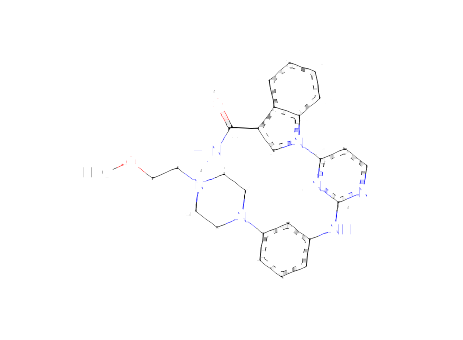 COCCN1CCN(c2cccc(Nc3nccc(-n4cc(C(N)=O)c5ccccc54)n3)c2)CC1